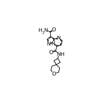 NC(=O)c1cnn2c(C(=O)NC3CC4(CCOCC4)C3)ccnc12